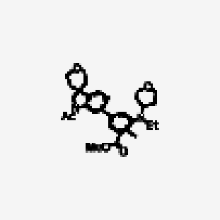 CCN(c1cc(-c2ccc3c(c2)N(C(C)=O)CC32CCOCC2)cc(C(=O)OC)c1C)C1CCOCC1